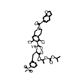 CC(C)OC(=O)OC(C)OC(=O)[C@@H](Cc1cccc(S(C)(=O)=O)c1)NC(=O)c1c(Cl)cc2c(c1Cl)CCN(C(=O)c1ccc3ccoc3c1)C2